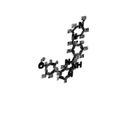 COc1ccc(-c2ccnc3[nH]c(-c4cccc(CN5CCN(C)CC5)c4)nc23)cc1